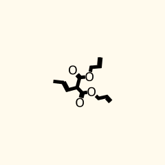 C=CCOC(=O)C(/C=C/C)C(=O)OCC=C